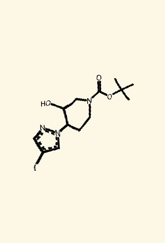 CC(C)(C)OC(=O)N1CCC(n2cc(I)cn2)C(O)C1